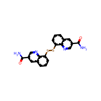 NC(=O)c1cnc2c(SSc3cccc4cc(C(N)=O)cnc34)cccc2c1